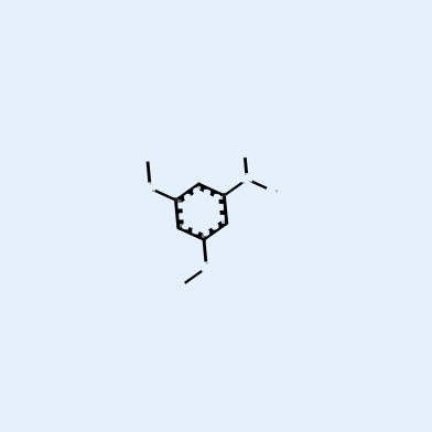 CSc1cc(SC)cc(B(O)O)c1